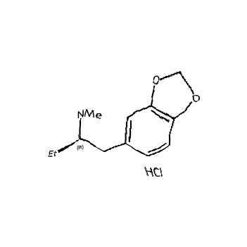 CC[C@H](Cc1ccc2c(c1)OCO2)NC.Cl